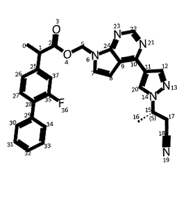 CC(C(=O)OCn1ccc2c(-c3cnn([C@@H](C)CC#N)c3)ncnc21)c1ccc(-c2ccccc2)c(F)c1